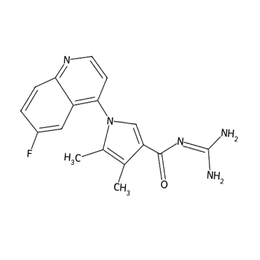 Cc1c(C(=O)N=C(N)N)cn(-c2ccnc3ccc(F)cc23)c1C